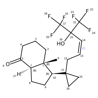 C[C@]12CCCC(=O)[C@@H]1CC[C@@H]2C1(C/C=C\C(O)(C(F)(F)F)C(F)(F)F)CC1